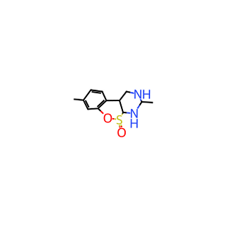 Cc1ccc2c(c1)OS(=O)C1NC(C)NCC21